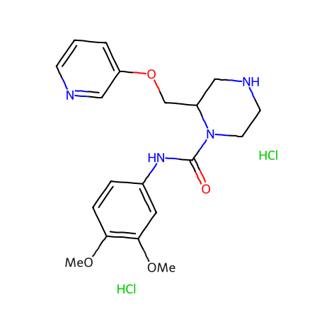 COc1ccc(NC(=O)N2CCNCC2COc2cccnc2)cc1OC.Cl.Cl